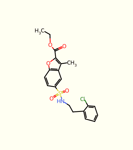 CCOC(=O)c1oc2ccc(S(=O)(=O)NCCc3ccccc3Cl)cc2c1C